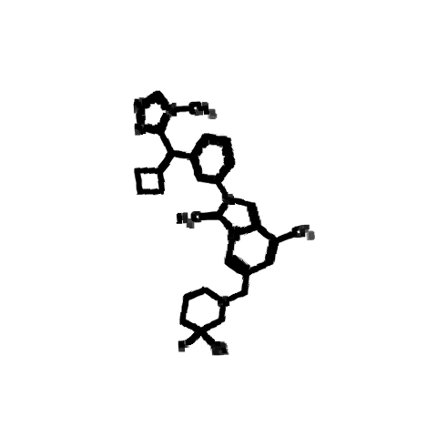 C=C1N2C=C(CN3CCCC(F)(CC)C3)C=C(C(F)(F)F)C2=CN1c1cccc(C(c2nncn2C)C2CCC2)c1